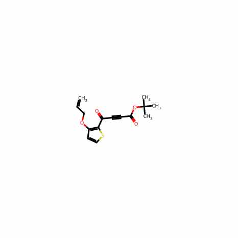 C=CCOc1ccsc1C(=O)C#CC(=O)OC(C)(C)C